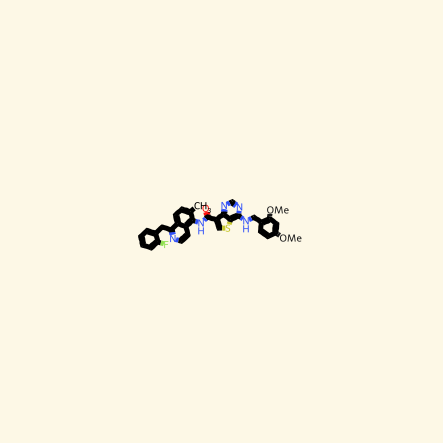 COc1ccc(CNc2ncnc3c(C(=O)Nc4c(C)ccc5c(Cc6ccccc6F)nccc45)csc23)c(OC)c1